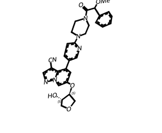 COC(C(=O)N1CCN(c2ccc(-c3cc(O[C@H]4COC[C@@H]4O)cn4ncc(C#N)c34)cn2)CC1)c1ccccc1